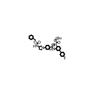 CC(C)(C)OC(=O)Nc1ccc(-c2ccc(F)cc2)cc1NC(=O)c1ccc(N2CC[C@@H](NC(=O)OCc3ccccc3)C2)cc1